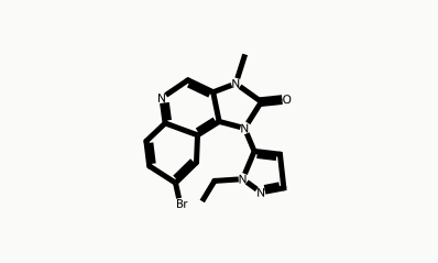 CCn1nccc1-n1c(=O)n(C)c2cnc3ccc(Br)cc3c21